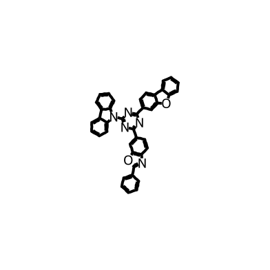 c1ccc(-c2nc3ccc(-c4nc(-c5ccc6c(c5)oc5ccccc56)nc(-n5c6ccccc6c6ccccc65)n4)cc3o2)cc1